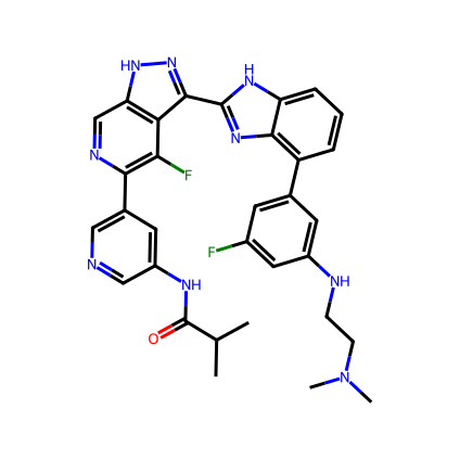 CC(C)C(=O)Nc1cncc(-c2ncc3[nH]nc(-c4nc5c(-c6cc(F)cc(NCCN(C)C)c6)cccc5[nH]4)c3c2F)c1